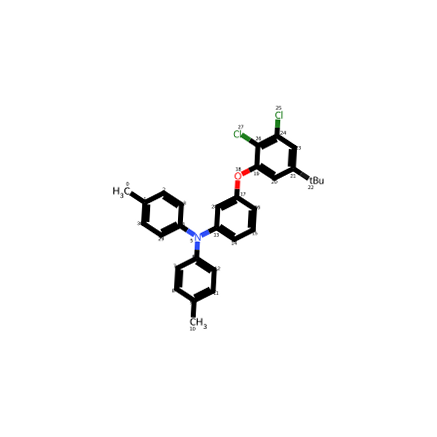 Cc1ccc(N(c2ccc(C)cc2)c2cccc(Oc3cc(C(C)(C)C)cc(Cl)c3Cl)c2)cc1